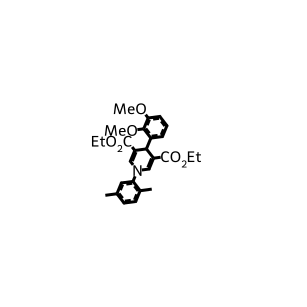 CCOC(=O)C1=CN(c2cc(C)ccc2C)C=C(C(=O)OCC)C1c1cccc(OC)c1OC